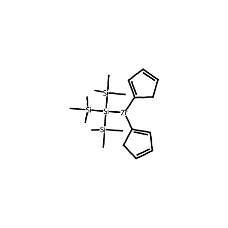 C[Si](C)(C)[Si]([Zr]([C]1=CC=CC1)[C]1=CC=CC1)([Si](C)(C)C)[Si](C)(C)C